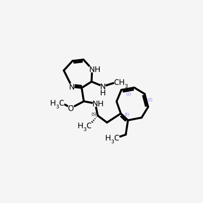 CC/C1=C(\C[C@H](C)NC(OC)C2=NCC=CNC2NC)C/C=C\C=C/C1